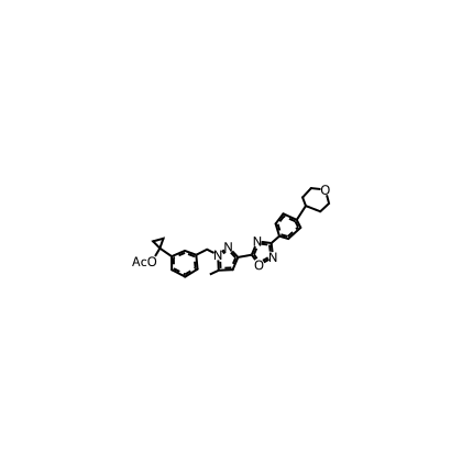 CC(=O)OC1(c2cccc(Cn3nc(-c4nc(-c5ccc(C6CCOCC6)cc5)no4)cc3C)c2)CC1